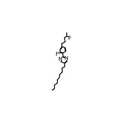 CCCCCCCCCCc1cnc(-c2ccc(CCCC(C)F)cc2F)nc1